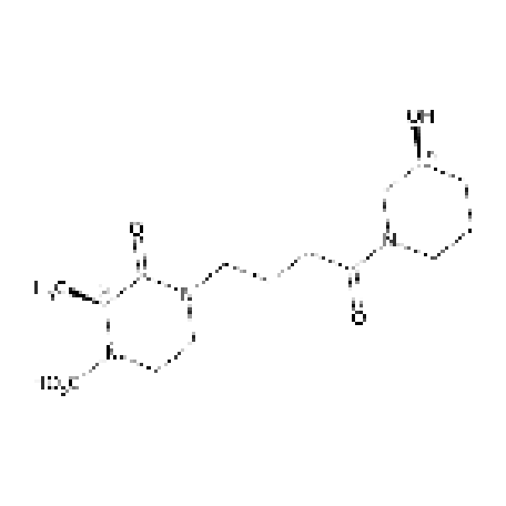 C[C@H]1C(=O)N(CCCC(=O)N2CCC[C@H](O)C2)CCN1C(=O)O